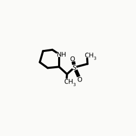 CCS(=O)(=O)C(C)C1CCCCN1